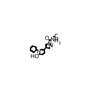 CCNC(=O)n1cc(C2=CN(c3ccccc3)C(O)C=C2)cn1